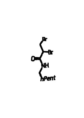 CCCCCCNC(=O)C(Br)CBr